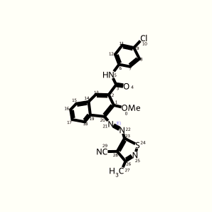 COc1c(C(=O)Nc2ccc(Cl)cc2)cc2ccccc2c1/N=N/c1snc(C)c1C#N